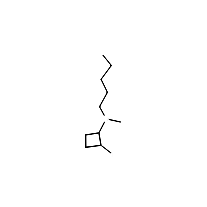 CCC1CCC1N(C)CCCCO